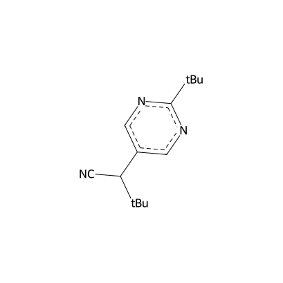 CC(C)(C)c1ncc(C(C#N)C(C)(C)C)cn1